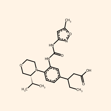 CCC(CC(=O)O)c1ccc(N2CCOC[C@H]2C(C)C)c(NC(=O)Nc2cc(C)on2)c1